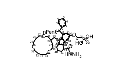 CCCCCC(c1ccccc1)c1cc(OCCP(=O)(O)O)cc2c3c(n(CC4CCCCCCCCCCCCC4)c12)CCCC3C(=O)NN